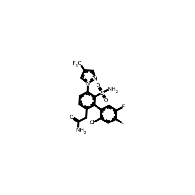 NC(=O)Cc1ccc(-n2cc(C(F)(F)F)cn2)c(S(N)(=O)=O)c1-c1cc(F)c(F)cc1Cl